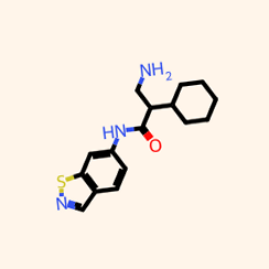 NCC(C(=O)Nc1ccc2cnsc2c1)C1CCCCC1